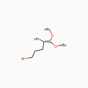 CCCCO[SiH](OCCCC)C(CCC)CCCBr